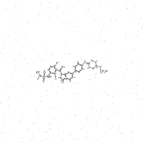 CCN(C)S(=O)(=O)Nc1ccc(F)c(C(=O)c2c[nH]c3ncc(-c4ccc(CN5CCN(CC(=O)O)CC5)nc4)cc23)c1F